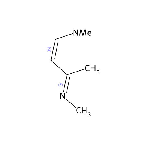 C/N=C(C)/C=C\NC